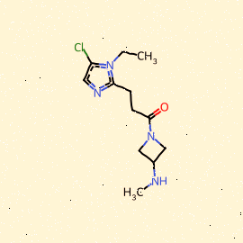 CCn1c(Cl)cnc1CCC(=O)N1CC(NC)C1